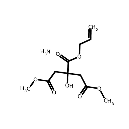 C=CCOC(=O)C(O)(CC(=O)OC)CC(=O)OC.N